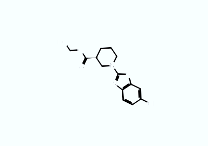 CCOC(=O)[C@H]1CCCN(c2nc3ccc(Cl)cc3s2)C1